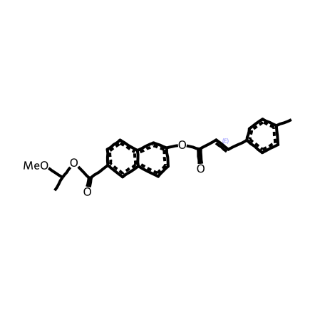 COC(C)OC(=O)c1ccc2cc(OC(=O)/C=C/c3ccc(C)cc3)ccc2c1